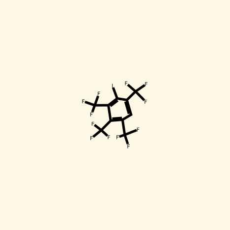 FC(F)(F)c1cc(C(F)(F)F)c(C(F)(F)F)c(C(F)(F)F)c1I